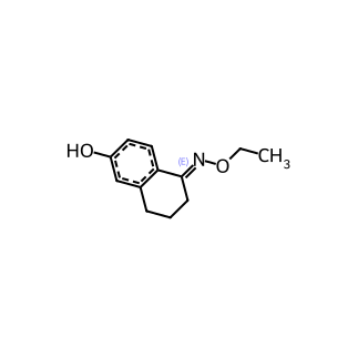 CCO/N=C1\CCCc2cc(O)ccc21